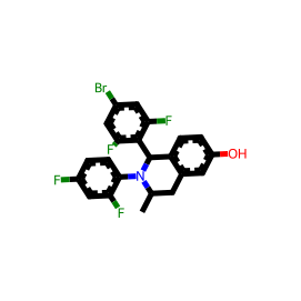 CC1Cc2cc(O)ccc2C(c2c(F)cc(Br)cc2F)N1c1ccc(F)cc1F